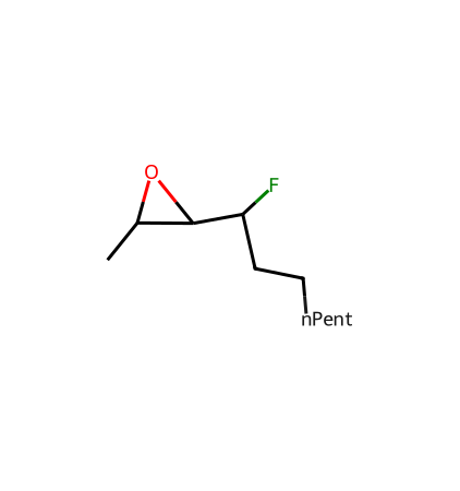 CCCCCCCC(F)C1OC1C